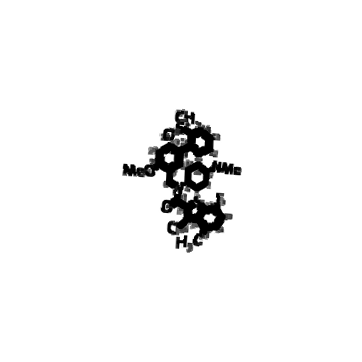 CN[C@H]1CC[C@H](N(Cc2cc(-c3ccccc3[S+](C)[O-])ccc2OC)C(=O)c2sc3c(F)ccc(C)c3c2Cl)CC1